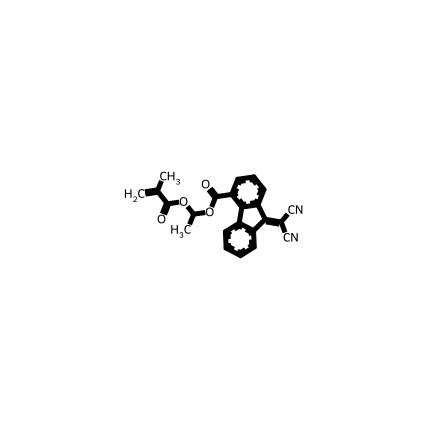 C=C(C)C(=O)OC(C)OC(=O)c1cccc2c1-c1ccccc1C2=C(C#N)C#N